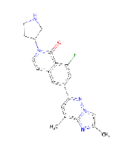 Cc1cn2nc(-c3cc(F)c4c(=O)n(C5CCNC5)ccc4c3)cc(C)c2n1